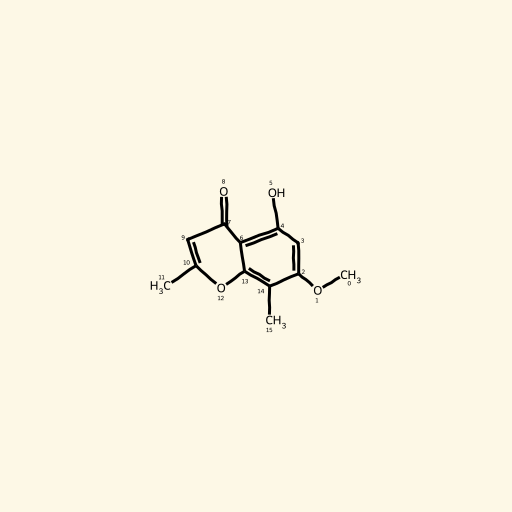 COc1cc(O)c2c(=O)cc(C)oc2c1C